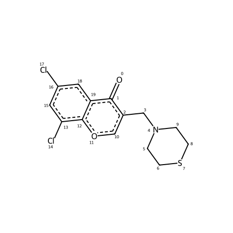 O=c1c(CN2CCSCC2)coc2c(Cl)cc(Cl)cc12